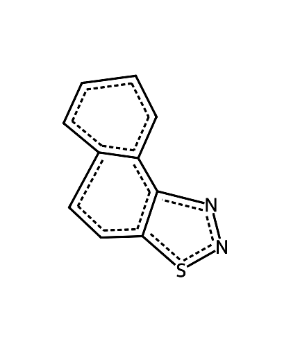 c1ccc2c(c1)ccc1snnc12